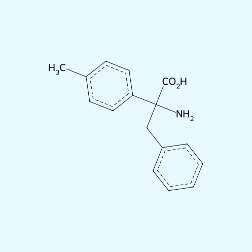 Cc1ccc(C(N)(Cc2ccccc2)C(=O)O)cc1